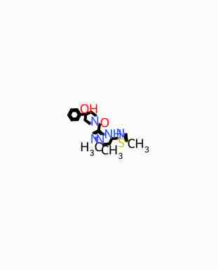 Cc1cnc(C2CC(C)(C)n3ncc(C(=O)N4CCC(O)(c5ccccc5)CC4)c3N2)s1